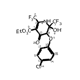 CCOC(=O)C1=C(C(F)(F)F)NC(O)(C(F)(F)F)C(Oc2ccc(Cl)cc2)C1=O